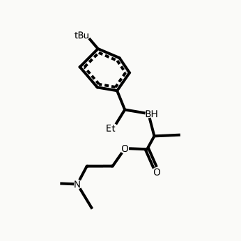 CCC(BC(C)C(=O)OCCN(C)C)c1ccc(C(C)(C)C)cc1